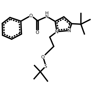 CC(C)(C)SOCCn1nc(C(C)(C)C)cc1NC(=O)Oc1ccccc1